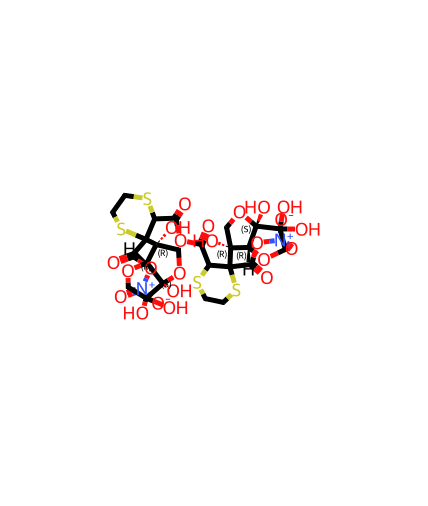 O=C(OC(=O)C1SCCSC1(C(=O)O[N+](=O)[O-])[C@@]1(O)CO[C@@]2(O)[C@@H]1OCC2(O)O)C1SCCSC1(C(=O)O[N+](=O)[O-])[C@@]1(O)CO[C@@]2(O)[C@@H]1OCC2(O)O